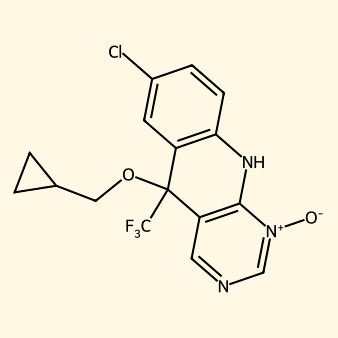 [O-][n+]1cncc2c1Nc1ccc(Cl)cc1C2(OCC1CC1)C(F)(F)F